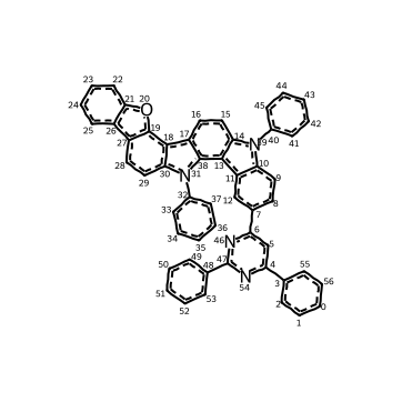 c1ccc(-c2cc(-c3ccc4c(c3)c3c(ccc5c6c7oc8ccccc8c7ccc6n(-c6ccccc6)c53)n4-c3ccccc3)nc(-c3ccccc3)n2)cc1